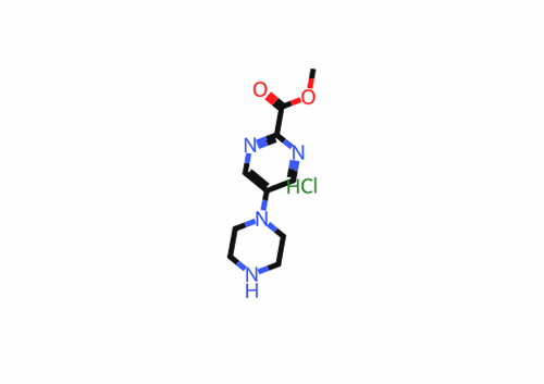 COC(=O)c1ncc(N2CCNCC2)cn1.Cl